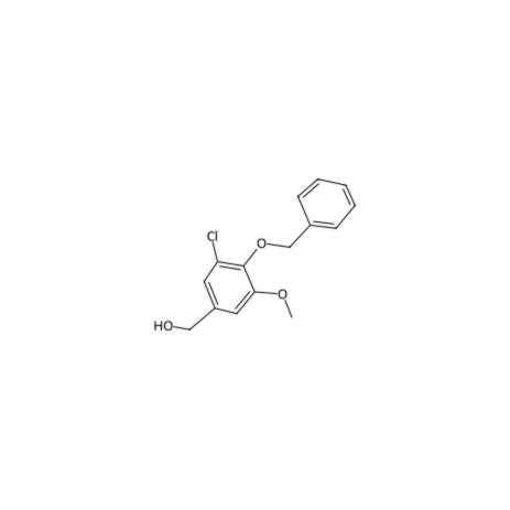 COc1cc(CO)cc(Cl)c1OCc1ccccc1